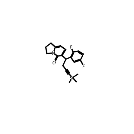 C[Si](C)(C)C#CCC(c1cc(F)ccc1F)c1ccc2n(c1=O)CCC2